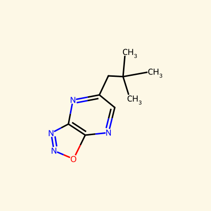 CC(C)(C)Cc1cnc2onnc2n1